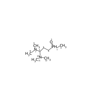 CC[PH](=O)CCC(N(C)C)N(C)C